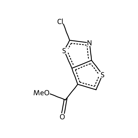 COC(=O)c1csc2nc(Cl)sc12